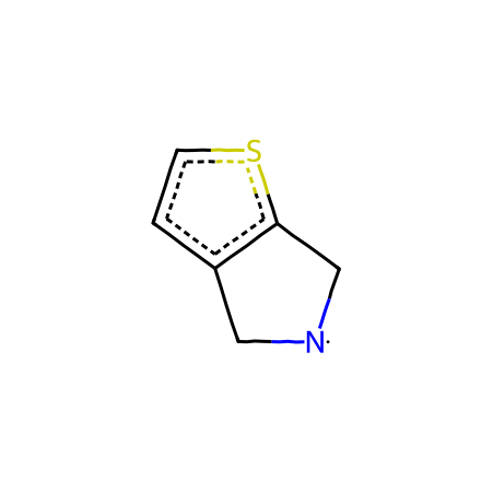 c1cc2c(s1)C[N]C2